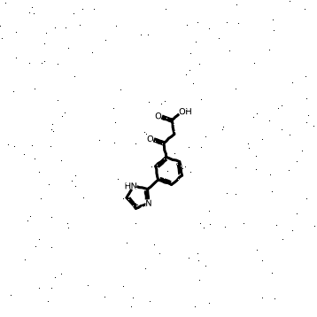 O=C(O)CC(=O)c1cccc(-c2ncc[nH]2)c1